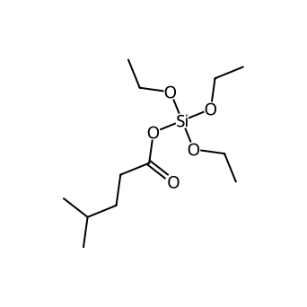 CCO[Si](OCC)(OCC)OC(=O)CCC(C)C